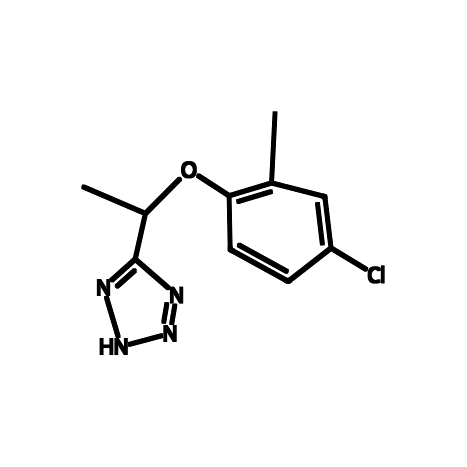 Cc1cc(Cl)ccc1OC(C)c1nn[nH]n1